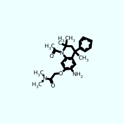 CC(=O)N1c2cc(OCC(=O)N(C)C)c(N)cc2C(C)(c2ccccc2)CC1(C)C